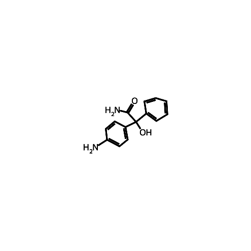 NC(=O)C(O)(c1ccccc1)c1ccc(N)cc1